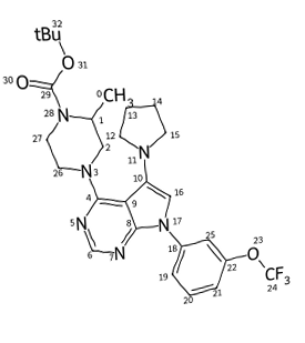 CC1CN(c2ncnc3c2c(N2CCCC2)cn3-c2cccc(OC(F)(F)F)c2)CCN1C(=O)OC(C)(C)C